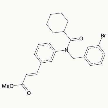 COC(=O)/C=C/c1cccc(N(Cc2cccc(Br)c2)C(=O)C2CCCCC2)c1